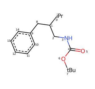 CC(C)C(CNC(=O)OC(C)(C)C)Cc1ccccc1